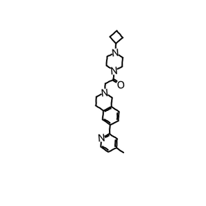 Cc1ccnc(-c2ccc3c(c2)CCN(CC(=O)N2CCN(C4CCC4)CC2)C3)c1